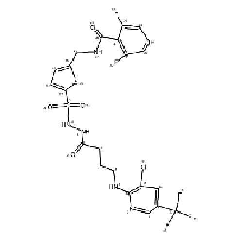 O=C(CCCNc1ncc(C(F)(F)F)cc1Cl)NNS(=O)(=O)c1ccc(CNC(=O)c2c(F)cccc2F)s1